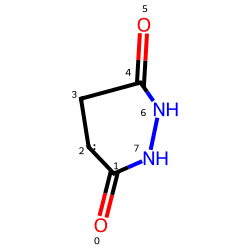 O=C1[C]CC(=O)NN1